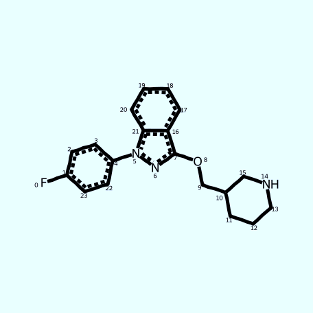 Fc1ccc(-n2nc(OCC3CCCNC3)c3ccccc32)cc1